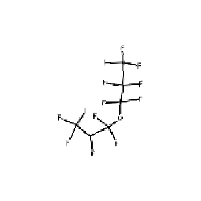 FC(C(F)(F)I)C(F)(F)OC(F)(F)C(F)(F)C(F)(F)I